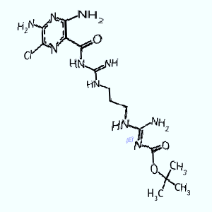 CC(C)(C)OC(=O)/N=C(\N)NCCCNC(=N)NC(=O)c1nc(Cl)c(N)nc1N